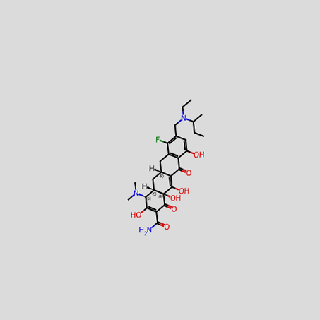 CCC(C)N(CC)Cc1cc(O)c2c(c1F)C[C@H]1C[C@H]3[C@H](N(C)C)C(O)=C(C(N)=O)C(=O)[C@@]3(O)C(O)=C1C2=O